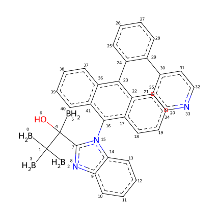 BC(B)(B)C(B)(O)c1nc2ccccc2n1-c1c2ccccc2c(-c2ccccc2-c2ccncc2)c2ccccc12